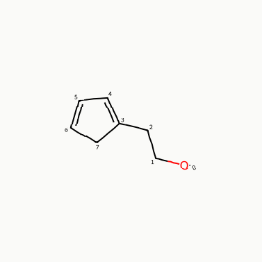 [O]CCC1=CC=CC1